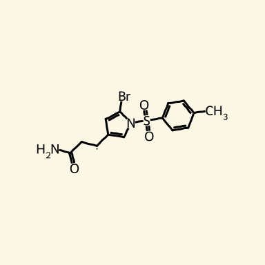 Cc1ccc(S(=O)(=O)n2cc([CH]CC(N)=O)cc2Br)cc1